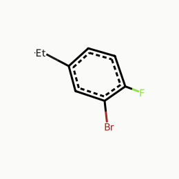 C[CH]c1ccc(F)c(Br)c1